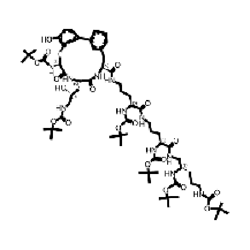 CC(C)(C)OC(=O)NCCC[C@@H](CNC(=O)[C@H](CCCNC(=O)[C@H](CCCNC(=O)[C@@H]1Cc2cccc(c2)-c2ccc(O)c(c2)C[C@H](NC(=O)OC(C)(C)C)C(=O)N[C@@H](C[C@@H](O)CNC(=O)OC(C)(C)C)C(=O)N1)NC(=O)OC(C)(C)C)NC(=O)OC(C)(C)C)NC(=O)OC(C)(C)C